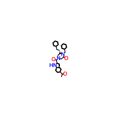 CC(=O)c1ccc2[nH]c(C(=O)N3CC(=O)N(Cc4ccccc4)[C@@H](CCc4ccccc4)C3)cc2c1